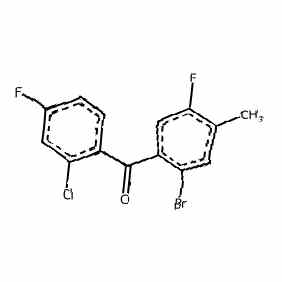 Cc1cc(Br)c(C(=O)c2ccc(F)cc2Cl)cc1F